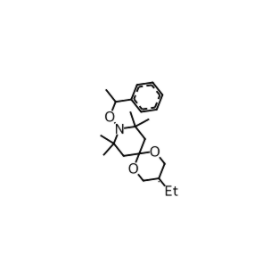 CC[C]1COC2(CC(C)(C)N(OC(C)c3ccccc3)C(C)(C)C2)OC1